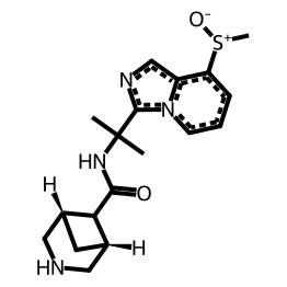 C[S+]([O-])c1cccn2c(C(C)(C)NC(=O)C3[C@@H]4CNC[C@H]3C4)ncc12